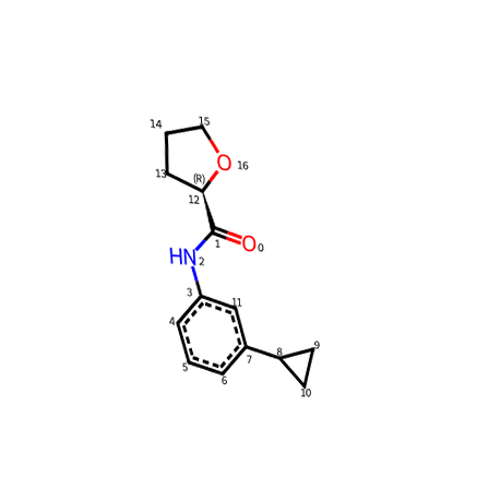 O=C(Nc1cccc(C2CC2)c1)[C@H]1CCCO1